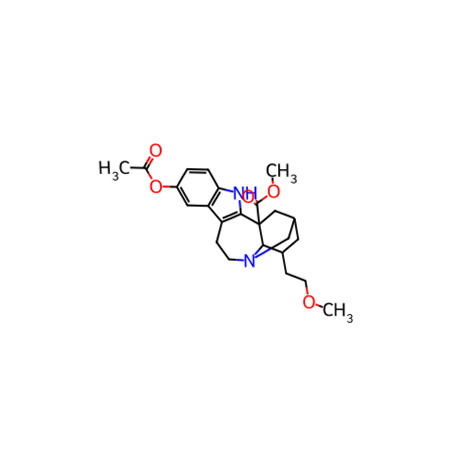 COCCC1CC2CN3CCc4c([nH]c5ccc(OC(C)=O)cc45)C(C(=O)OC)(C2)C13